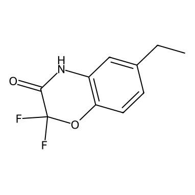 CCc1ccc2c(c1)NC(=O)C(F)(F)O2